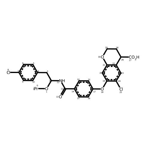 CC(C)OC(Cc1ccc(Cl)cc1)NC(=O)c1ccc(Oc2cc3c(cc2Cl)C(C(=O)O)CCO3)cc1